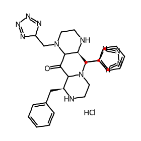 Cl.O=C(C1[C@H](Cc2ccccc2)NCCN1CC1N=NN=N1)C1[C@H](Cc2ccccc2)NCCN1CC1N=NN=N1